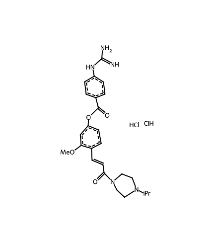 COc1cc(OC(=O)c2ccc(NC(=N)N)cc2)ccc1/C=C/C(=O)N1CCN(C(C)C)CC1.Cl.Cl